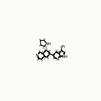 CC(C)c1c[nH]c2ncc(-c3cc([C@@H]4CCCN4)c4cnccc4c3)cc12